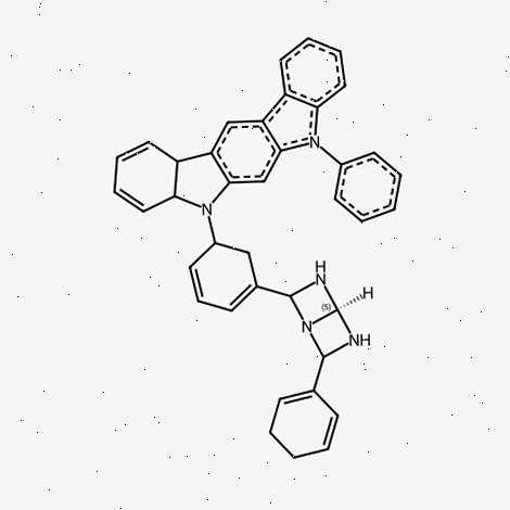 C1=CC2c3cc4c5ccccc5n(-c5ccccc5)c4cc3N(C3C=CC=C(C4N[C@H]5NC(C6=CCCC=C6)N45)C3)C2C=C1